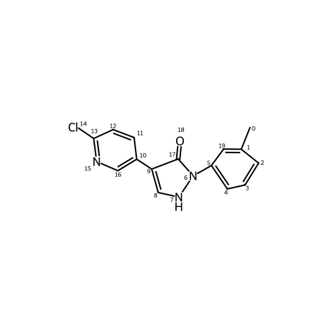 Cc1cccc(-n2[nH]cc(-c3ccc(Cl)nc3)c2=O)c1